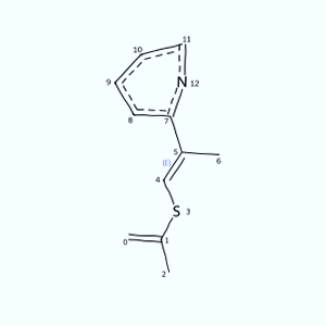 C=C(C)S/C=C(\C)c1ccccn1